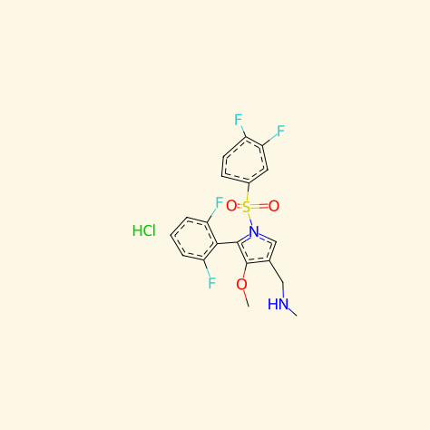 CNCc1cn(S(=O)(=O)c2ccc(F)c(F)c2)c(-c2c(F)cccc2F)c1OC.Cl